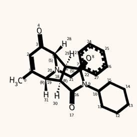 CC1=CC(=O)[C@@H]2[C@H]3C(=O)N(C4CCCCC4)C(=O)[C@H]3[C@H]1N2Cc1ccccc1